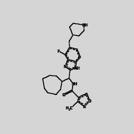 Cc1nocc1C(=O)NC(c1nc2c(F)c(CC3CCNCC3)ccc2[nH]1)C1CCCCCCC1